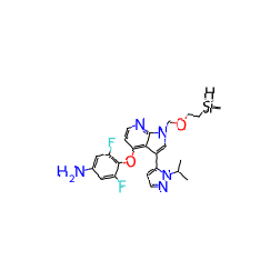 CC(C)n1nccc1-c1cn(COCC[SiH](C)C)c2nccc(Oc3c(F)cc(N)cc3F)c12